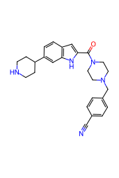 N#Cc1ccc(CN2CCN(C(=O)c3cc4ccc(C5CCNCC5)cc4[nH]3)CC2)cc1